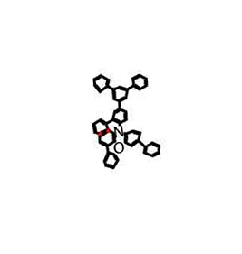 c1ccc(-c2ccc(N(c3ccc(-c4cc(-c5ccccc5)cc(-c5ccccc5)c4)cc3-c3ccccc3)c3cccc4c3oc3ccccc34)cc2)cc1